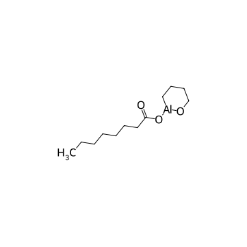 CCCCCCCC(=O)[O][Al]1[CH2]CCC[O]1